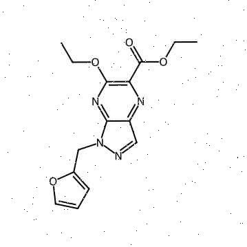 CCOC(=O)c1nc2cnn(Cc3ccco3)c2nc1OCC